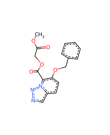 COC(=O)COC(=O)c1c(OCc2ccccc2)ccc2cnnn12